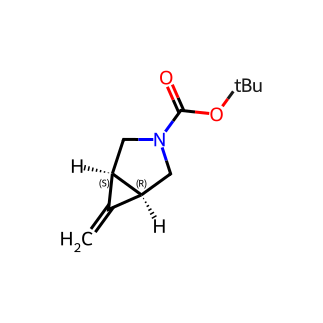 C=C1[C@H]2CN(C(=O)OC(C)(C)C)C[C@@H]12